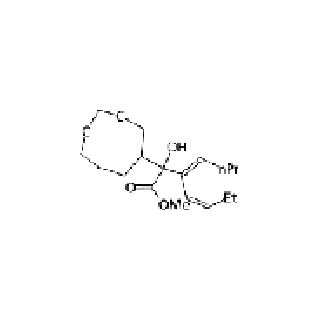 CC/C=C\C(=CCCC)C(O)(C(=O)OC)C1CCCCCCC1